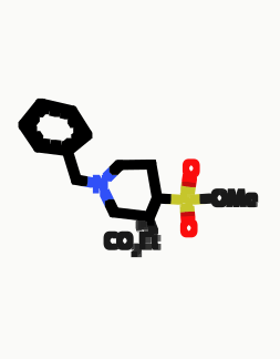 CCOC(=O)[C@H]1CN(Cc2ccccc2)CCC1S(=O)(=O)OC